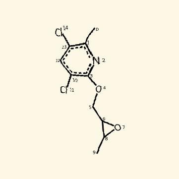 Cc1nc(OCC2OC2C)c(Cl)cc1Cl